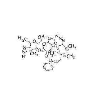 CC(=O)OCC1O[C@H](O[C@@H]2C(C)O[C@@H](O[C@@H]3C(COC(C)=O)OC(C)C(N=[N+]=[N-])[C@H]3C)C(OCc3ccccc3)[C@H]2C)C(N=[N+]=[N-])[C@@H](C)[C@@H]1C